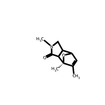 CC1=CC2O[C@]1(C)C1C(=O)N(C)CC21